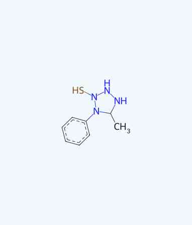 CC1NNN(S)N1c1ccccc1